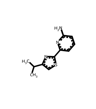 CC(C)c1csc(-c2cccc(N)n2)n1